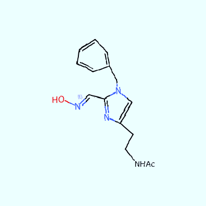 CC(=O)NCCc1cn(Cc2ccccc2)c(/C=N/O)n1